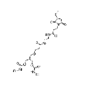 CCNC(=O)OCC(COCCC(=O)NCCNC(=O)CCN1C(=O)CC(SF)C1=O)COC(=O)NCC